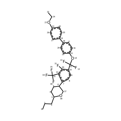 CCCC1CCC(c2ccc(C(F)(F)Oc3ccc(-c4ccc(OCC)cc4)cc3)c(F)c2C(F)(F)F)CO1